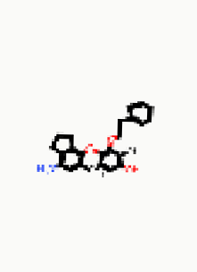 CCc1c(O)ccc(Oc2c(C)cc(N)c3c2CCC3)c1OCCc1ccccc1